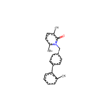 CCCCc1ccc(C#N)c(=O)n1Cc1ccc(-c2ccccc2C#N)cc1